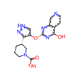 O=C(O)N1CCC[C@H](c2n[nH]cc2Oc2nc(O)c3ccncc3n2)C1